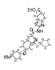 CCOC(=O)c1ccc2nc(NC(=O)c3cc4ccc(Oc5ccc(C(C)(C)C)cc5)cc4c(CC4CCCC4)n3)sc2c1